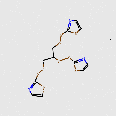 c1csc(SSCC(CSSc2nccs2)SSc2nccs2)n1